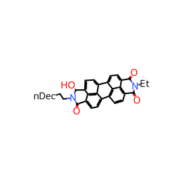 CCCCCCCCCCCCN1C(=O)c2ccc3c4ccc5c6c(ccc(c7ccc(c2c37)C1O)c64)C(=O)N(CC)C5=O